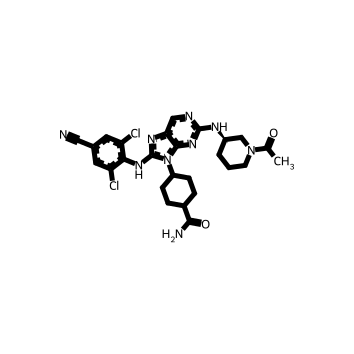 CC(=O)N1CCC[C@@H](Nc2ncc3nc(Nc4c(Cl)cc(C#N)cc4Cl)n(C4CCC(C(N)=O)CC4)c3n2)C1